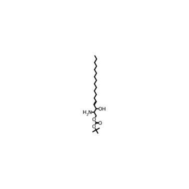 CCCCCCCCCCCCCC=CC(O)C(N)COC(=O)OC(C)(C)C